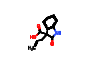 C=CCC1(C(=O)O)C(=O)Nc2ccccc21